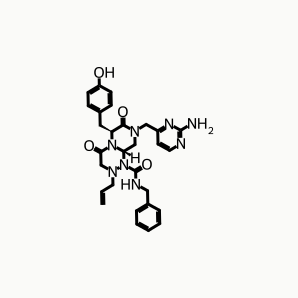 C=CCN1CC(=O)N2[C@@H](Cc3ccc(O)cc3)C(=O)N(Cc3ccnc(N)n3)C[C@@H]2N1C(=O)NCc1ccccc1